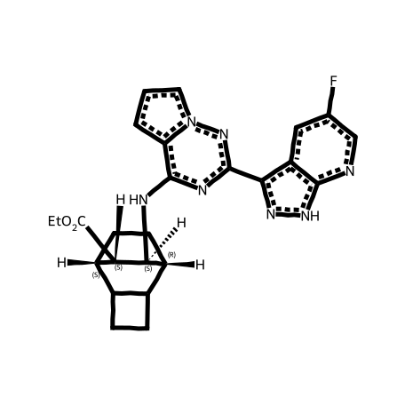 CCOC(=O)[C@@H]1[C@@H](Nc2nc(-c3n[nH]c4ncc(F)cc34)nn3cccc23)[C@@H]2CC[C@H]1C1CCC12